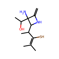 C=C1NC(C(C)C(S)=C(C)C)C1(N)C(C)O